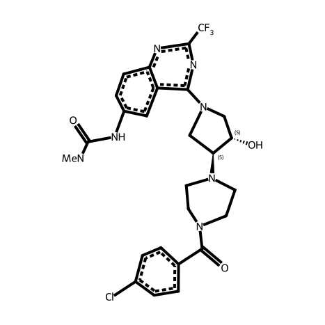 CNC(=O)Nc1ccc2nc(C(F)(F)F)nc(N3C[C@H](O)[C@@H](N4CCN(C(=O)c5ccc(Cl)cc5)CC4)C3)c2c1